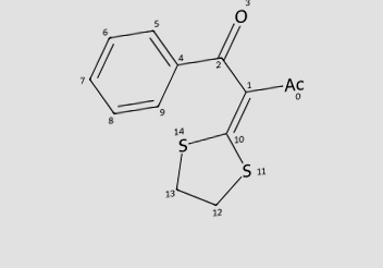 CC(=O)C(C(=O)c1ccccc1)=C1SCCS1